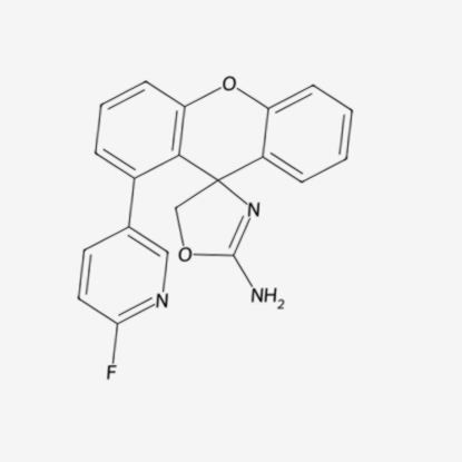 NC1=NC2(CO1)c1ccccc1Oc1cccc(-c3ccc(F)nc3)c12